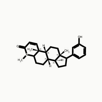 CN1C(=O)C=C[C@@]2(C)C1CC[C@@H]1[C@H]2CC[C@]2(C)C(c3cccc(O)c3)CC[C@@H]12